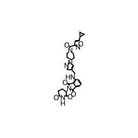 O=C1CCC(N2C(=O)c3cccc(NCc4cnn(C5CCN(C(=O)c6cc(C7CC7)on6)CC5)c4)c3C2=O)C(=O)N1